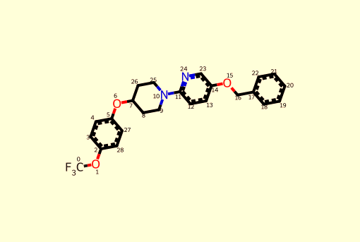 FC(F)(F)Oc1ccc(OC2CCN(c3ccc(OCc4ccccc4)cn3)CC2)cc1